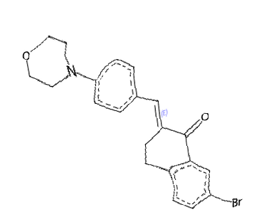 O=C1/C(=C/c2ccc(N3CCOCC3)cc2)CCc2ccc(Br)cc21